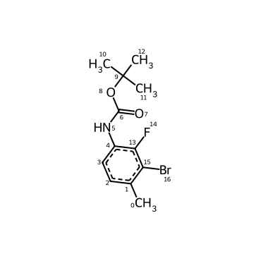 Cc1ccc(NC(=O)OC(C)(C)C)c(F)c1Br